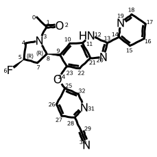 CC(=O)N1C[C@H](F)C[C@@H]1c1cc2[nH]c(-c3ccccn3)nc2cc1Oc1ccc(C#N)nc1